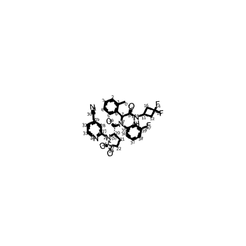 Cc1ccccc1C(C(=O)NC1CC(F)(F)C1)N(C(=O)[C@@H]1CCS(=O)(=O)N1c1cc(C#N)ccn1)c1cccc(F)c1